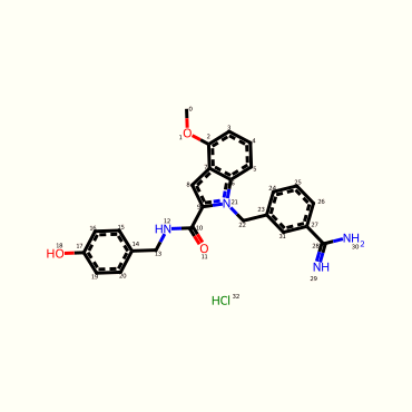 COc1cccc2c1cc(C(=O)NCc1ccc(O)cc1)n2Cc1cccc(C(=N)N)c1.Cl